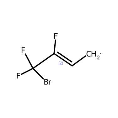 [CH2]/C=C(\F)C(F)(F)Br